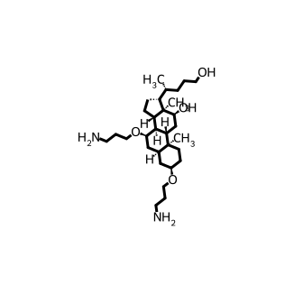 C[C@H](CCCO)[C@H]1CC[C@H]2[C@@H]3[C@H](OCCCN)C[C@@H]4C[C@H](OCCCN)CC[C@]4(C)[C@H]3C[C@H](O)[C@]12C